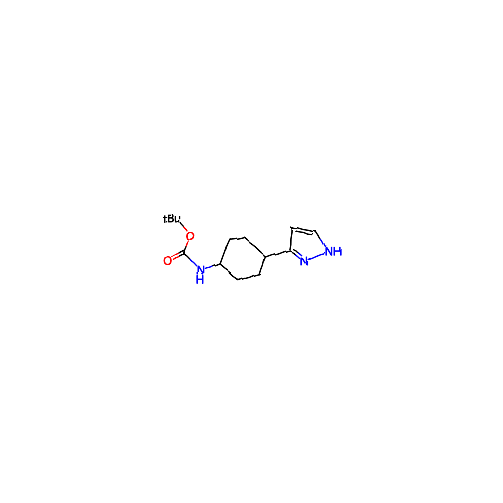 CC(C)(C)OC(=O)NC1CCC(c2cc[nH]n2)CC1